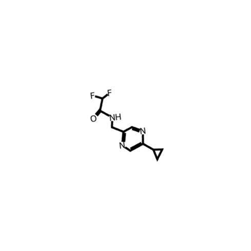 O=C(NCc1cnc(C2CC2)cn1)C(F)F